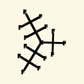 FC(F)(F)N(C(F)(F)C(F)(F)F)C(F)(F)C(F)(F)F